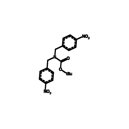 CC(C)(C)OC(=O)N(Cc1ccc([N+](=O)[O-])cc1)Cc1ccc([N+](=O)[O-])cc1